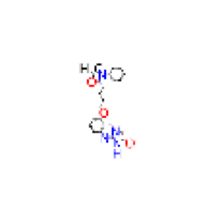 CN(C(=O)CCCCOc1cccc2c1CN1CC(=O)NC1=N2)c1ccccc1